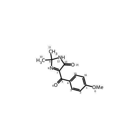 COc1ccc(C(=O)C2=NC(C)(C)NC2=O)cc1